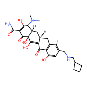 CN(C)[C@@H]1C(O)=C(C(N)=O)C(=O)[C@@]2(O)C(O)=C3C(=O)c4c(O)cc(CNCC5CCC5)c(F)c4C[C@H]3C[C@@H]12